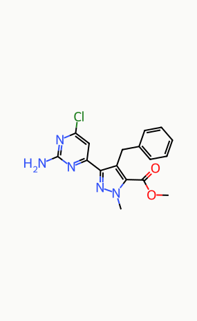 COC(=O)c1c(Cc2ccccc2)c(-c2cc(Cl)nc(N)n2)nn1C